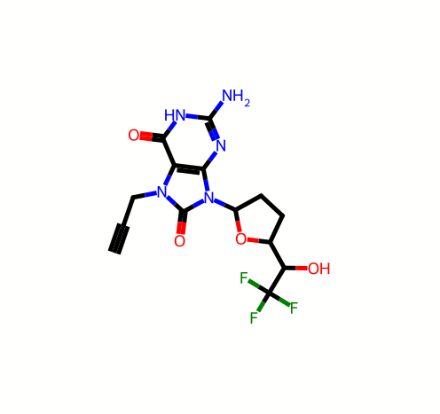 C#CCn1c(=O)n(C2CCC(C(O)C(F)(F)F)O2)c2nc(N)[nH]c(=O)c21